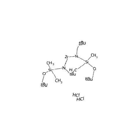 CC(C)(C)O[Si](C)(C)[N]([Zr][N](C(C)(C)C)[Si](C)(C)OC(C)(C)C)C(C)(C)C.Cl.Cl